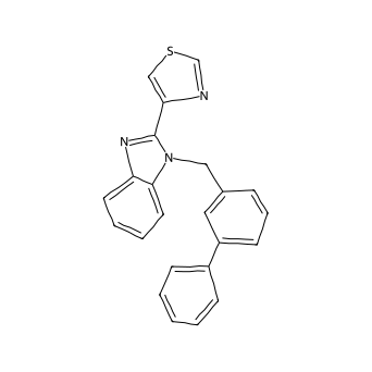 c1ccc(-c2cccc(Cn3c(-c4cscn4)nc4ccccc43)c2)cc1